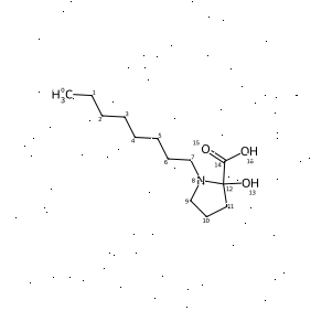 CCCCCCCCN1CCCC1(O)C(=O)O